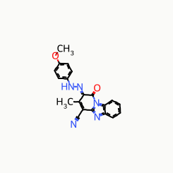 COc1ccc(N/N=C2/C(=O)n3c(nc4ccccc43)C(C#N)=C2C)cc1